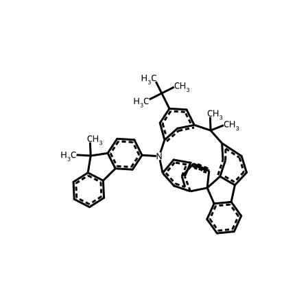 CC(C)(C)c1cc2cc(c1)C(C)(C)c1ccc3c(c1)C1(c4ccccc4-c4ccc(cc41)N2c1ccc2c(c1)-c1ccccc1C2(C)C)c1ccccc1-3